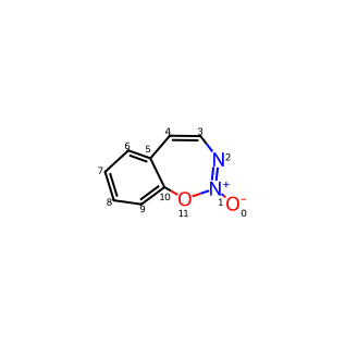 [O-][N+]1=NC=Cc2ccccc2O1